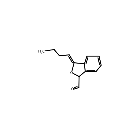 CCC/C=C1\OC(C=O)c2ccccc21